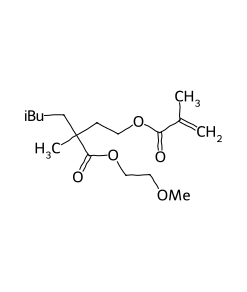 C=C(C)C(=O)OCCC(C)(CC(C)CC)C(=O)OCCOC